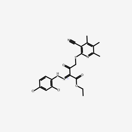 CCOC(=O)/C(=N/Nc1ccc(Cl)cc1Cl)C(=O)CSc1nc(C)c(C)c(C)c1C#N